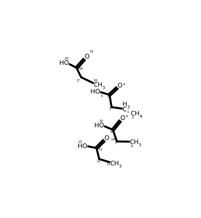 C.CCC(=O)O.CCC(=O)O.CCC(=O)O.CCC(=O)O